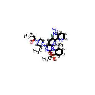 C=CC(=O)N1CCN(c2nc(=O)n(-c3c(C(C)C)cccc3S(C)(=O)=O)c3nc(-c4ncccc4N)c(F)cc23)[C@@H](C)C1